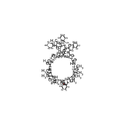 CC(C)C[C@H]1C(=O)N[C@@H](C(C)C)C(=O)N[C@H](C(=O)N(C)C(Cc2ccccc2)C(=O)N(C)[C@@H](Cc2ccccc2)C(=O)N[C@@H](C)C(=O)N2CCCCC2)CC(=O)N[C@H](C)C(=O)N(C)[C@@H](C)C(=O)N(C)[C@@H](Cc2ccccc2)C(=O)N(C)[C@@H](CC(C)C)C(=O)N[C@@H]([C@@H](C)O)C(=O)N(C)CC(=O)N1C